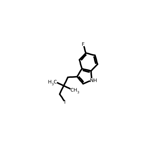 CC(C)(CI)Cc1c[nH]c2ccc(F)cc12